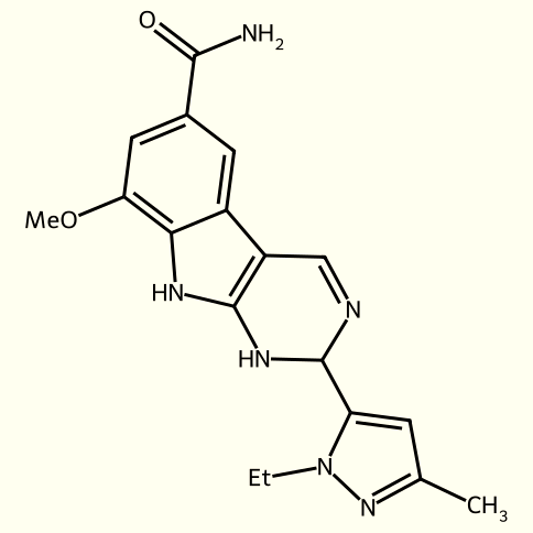 CCn1nc(C)cc1C1N=Cc2c([nH]c3c(OC)cc(C(N)=O)cc23)N1